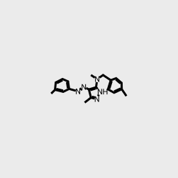 Cc1ccc(CN(C)c2[nH]nc(C)c2/N=N/c2cccc(C)c2)cc1